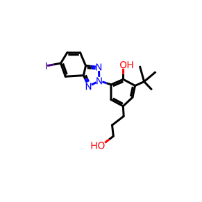 CC(C)(C)c1cc(CCCO)cc(-n2nc3ccc(I)cc3n2)c1O